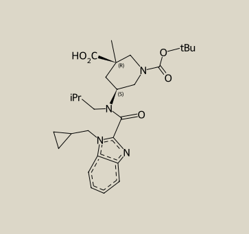 CC(C)CN(C(=O)c1nc2ccccc2n1CC1CC1)[C@@H]1CN(C(=O)OC(C)(C)C)C[C@](C)(C(=O)O)C1